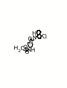 C=CS(=O)(=O)NC1CCN(C(=O)CNc2ccc(Cl)c3ccccc23)CC1